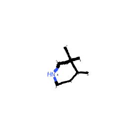 CC1CCNCC1(C)C